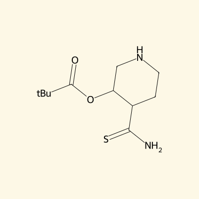 CC(C)(C)C(=O)OC1CNCCC1C(N)=S